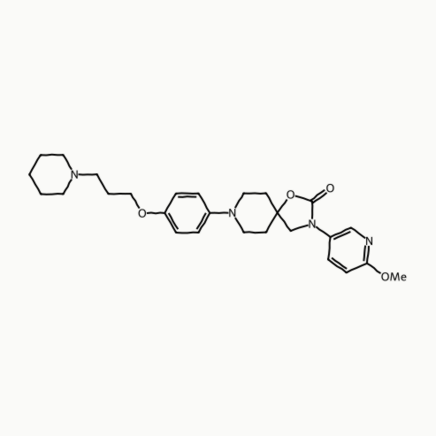 COc1ccc(N2CC3(CCN(c4ccc(OCCCN5CCCCC5)cc4)CC3)OC2=O)cn1